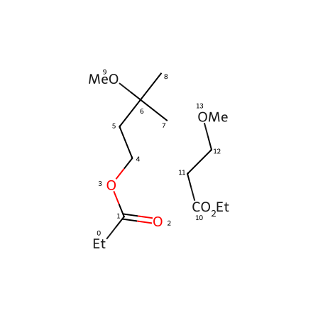 CCC(=O)OCCC(C)(C)OC.CCOC(=O)CCOC